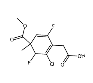 COC(=O)C1(C)C=C(F)C(CC(=O)O)=C(Cl)C1F